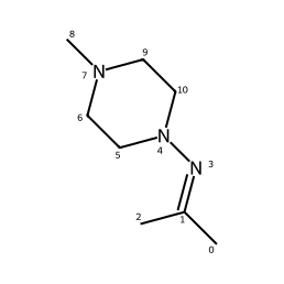 CC(C)=NN1CCN(C)CC1